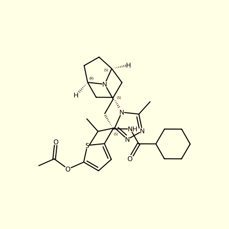 CC(=O)Oc1ccc([C@H](CCN2[C@@H]3CC[C@H]2C[C@H](n2c(C)nnc2C(C)C)C3)NC(=O)C2CCCCC2)s1